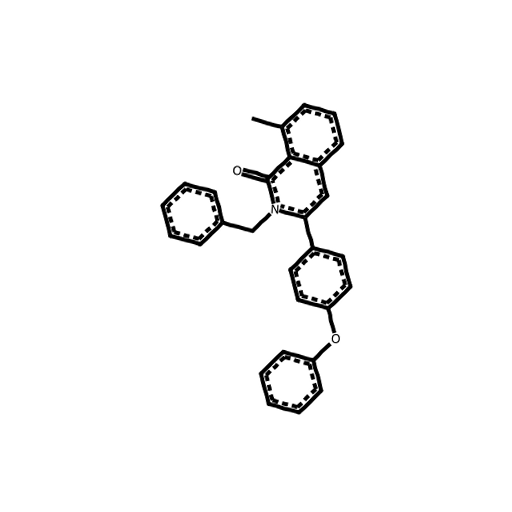 Cc1cccc2cc(-c3ccc(Oc4ccccc4)cc3)n(Cc3ccccc3)c(=O)c12